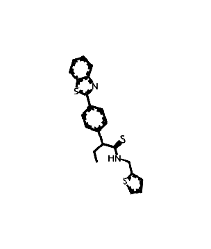 CCC(C(=S)NCc1cccs1)c1ccc(-c2nc3ccccc3s2)cc1